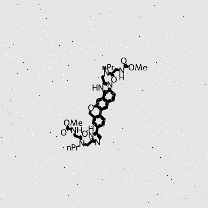 CCCN(Cc1ncc(-c2ccc3c(c2)COc2cc4c(ccc5nc(CN(CCC)C(=O)CNC(=O)OC)[nH]c54)cc2-3)[nH]1)C(=O)CNC(=O)OC